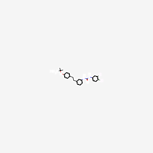 CC(C)(Oc1ccc(CCc2cccc(NC(=O)Nc3ccc(Cl)c(Cl)c3)c2)cc1)C(=O)O